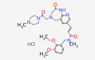 CCOc1c(CN(C)C(=O)C=Cc2cnc3c(c2)CN(CC(=O)N2CCN(C)CC2)CC(=O)N3)cccc1OC.Cl